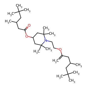 C=C(CC(C)CC(C)(C)C)OCCN1C(C)(C)CC(OC(=O)CC(C)CC(C)(C)C)CC1(C)C